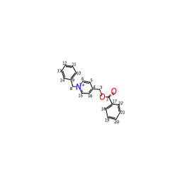 O=C(OCc1cc[n+](Cc2ccccc2)cc1)c1ccccc1